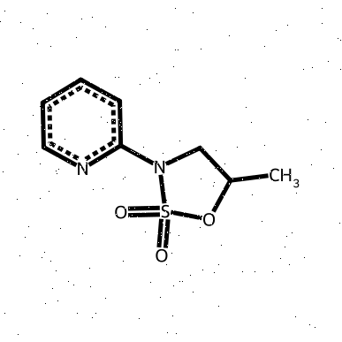 CC1CN(c2ccccn2)S(=O)(=O)O1